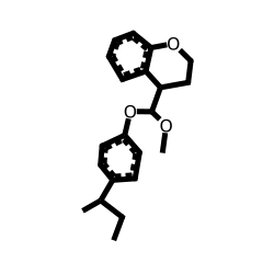 CCC(C)c1ccc(OC(OC)C2CCOc3ccccc32)cc1